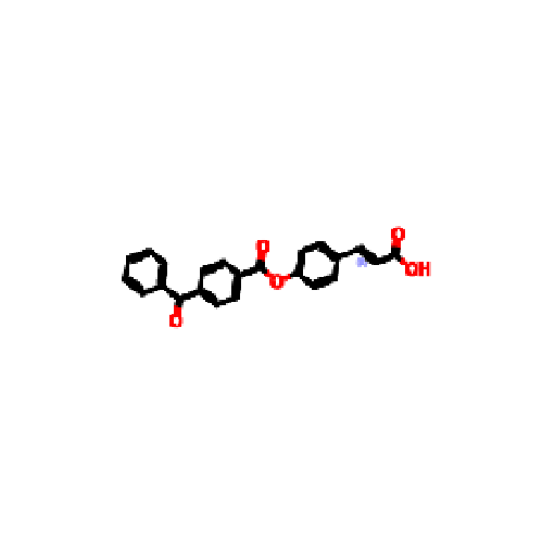 O=C(O)/C=C/c1ccc(OC(=O)c2ccc(C(=O)c3ccccc3)cc2)cc1